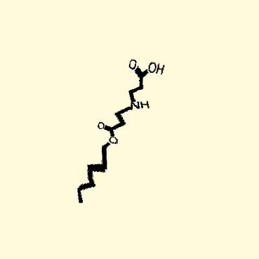 CCCC=CCOC(=O)CCNCCC(=O)O